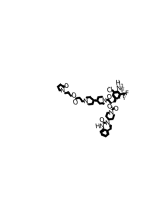 Nc1c(Cl)cc(C[C@@H](OC(=O)N2CCC(N3CCc4ccccc4NC3=O)CC2)C(=O)N2CCC(C3CCN(CCC(=O)OCCCN4CCCC4=O)CC3)CC2)cc1C(F)(F)F